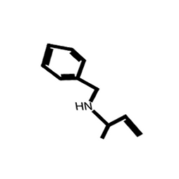 C=CC(C)NCc1ccccc1